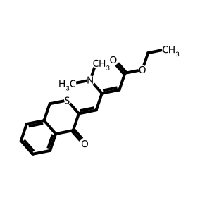 CCOC(=O)C=C(C=C1SCc2ccccc2C1=O)N(C)C